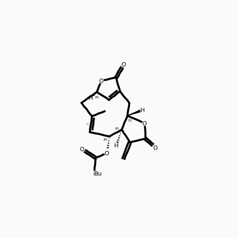 C=C1C(=O)O[C@H]2CC3=C[C@@H](C/C(C)=C/[C@@H](OC(=O)C(C)CC)[C@H]12)OC3=O